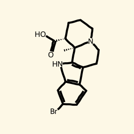 C[C@@]12c3[nH]c4cc(Br)ccc4c3CCN1CCC[C@H]2C(=O)O